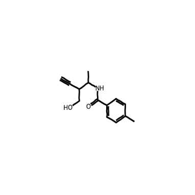 C#CC(CO)C(C)NC(=O)c1ccc(C)cc1